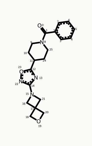 O=C(c1ccccc1)N1CCC(c2nc(N3CC4(COC4)C3)no2)CC1